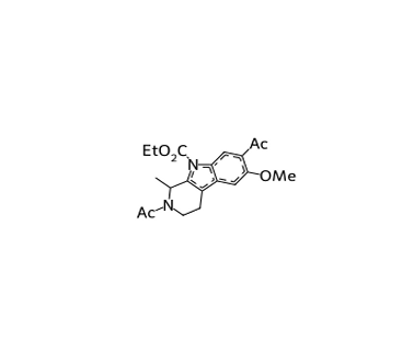 CCOC(=O)n1c2c(c3cc(OC)c(C(C)=O)cc31)CCN(C(C)=O)C2C